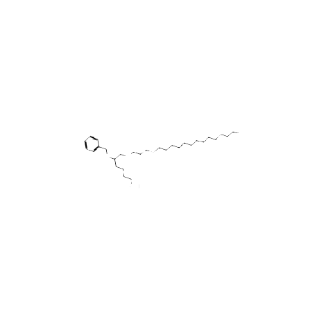 CCCCCC(COCCCCCCCCCCCCCCCCCF)OCc1ccccc1